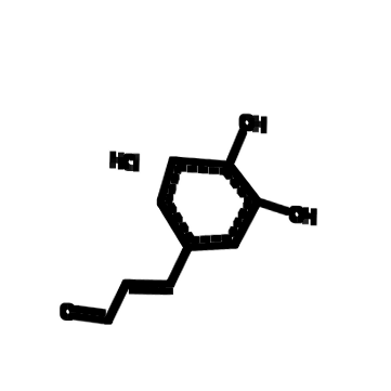 Cl.O=CC=Cc1ccc(O)c(O)c1